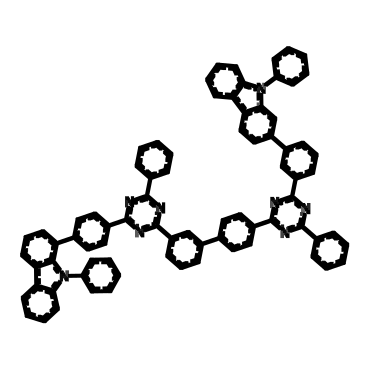 c1ccc(-c2nc(-c3ccc(-c4cccc5c6ccccc6n(-c6ccccc6)c45)cc3)nc(-c3cccc(-c4ccc(-c5nc(-c6ccccc6)nc(-c6cccc(-c7ccc8c9ccccc9n(-c9ccccc9)c8c7)c6)n5)cc4)c3)n2)cc1